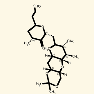 C=C1[C@H](C)CC(CCC=O)O[C@@H]1CC1O[C@H]2C[C@H]3OC(C)(C)OC[C@H]3O[C@H]2[C@H](C)[C@H]1OC(C)=O